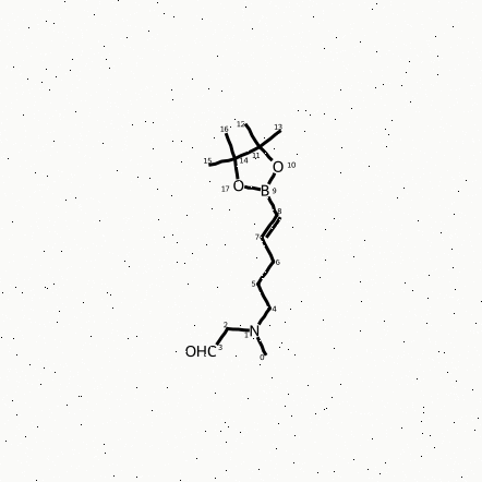 CN(CC=O)CCC/C=C/B1OC(C)(C)C(C)(C)O1